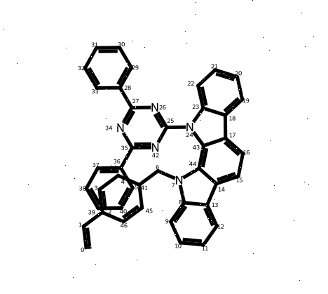 C=CC1=CCC(Cn2c3ccccc3c3ccc4c5ccccc5n(-c5nc(-c6ccccc6)nc(-c6ccccc6)n5)c4c32)C=C1